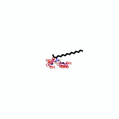 CCCCCCCCCCCCC(CC)N(SP(=O)(O)CP(=O)(O)O)SP(=O)(O)CP(=O)(O)O